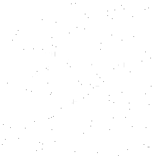 CC(O)N1C=C2N=C(C(=O)O)C=C(S)N2N1